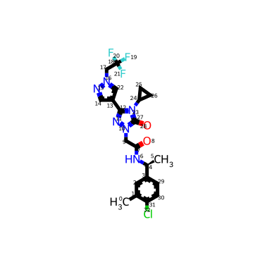 Cc1cc([C@H](C)NC(=O)Cn2nc(-c3cnn(CC(F)(F)F)c3)n(C3CC3)c2=O)ccc1Cl